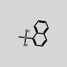 CC(=O)[Si](C)(C(C)=O)c1cccc2ccccc12